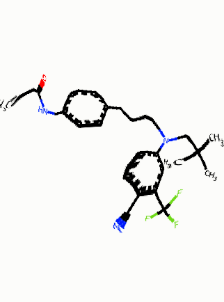 CC(=O)Nc1ccc(CCCN(CC(C)(C)C)c2ccc(C#N)c(C(F)(F)F)c2)cc1